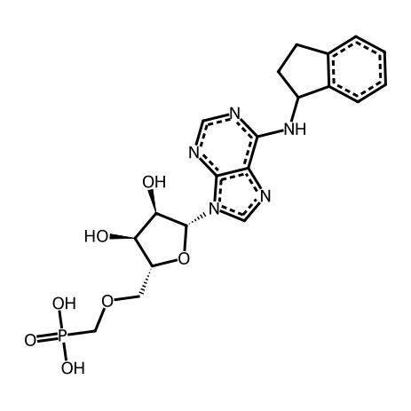 O=P(O)(O)COC[C@H]1O[C@@H](n2cnc3c(NC4CCc5ccccc54)ncnc32)[C@H](O)[C@@H]1O